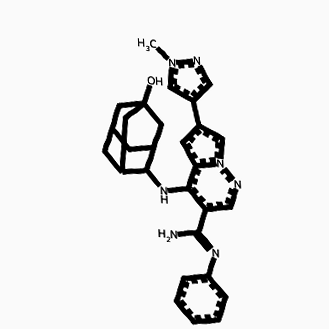 Cn1cc(-c2cc3c(NC4C5CC6CC4CC(O)(C6)C5)c(/C(N)=N/c4ccccc4)cnn3c2)cn1